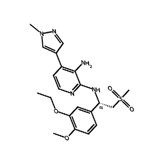 CCOc1cc([C@@H](CS(C)(=O)=O)Nc2nccc(-c3cnn(C)c3)c2N)ccc1OC